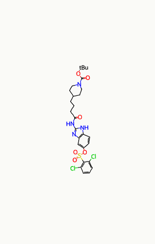 CC(C)(C)OC(=O)N1CCC(CCCC(=O)Nc2nc3cc(OS(=O)(=O)c4c(Cl)cccc4Cl)ccc3[nH]2)CC1